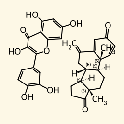 C=C1C[C@@H]2[C@H](CC[C@]3(C)C(=O)CC[C@@H]23)[C@@]2(C)C=CC(=O)C=C12.O=c1c(O)c(-c2ccc(O)c(O)c2)oc2cc(O)cc(O)c12